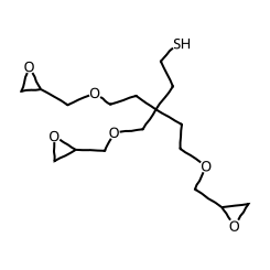 SCCC(CCOCC1CO1)(CCOCC1CO1)COCC1CO1